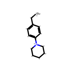 CC(C)(C)Cc1ccc(N2CCCCC2)cc1